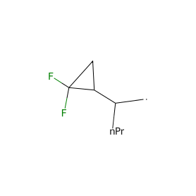 [CH2]C(CCC)C1CC1(F)F